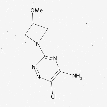 COC1CN(c2nnc(Cl)c(N)n2)C1